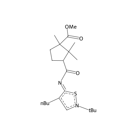 CCCCc1cn(C(C)(C)C)s/c1=N\C(=O)C1CCC(C)(C(=O)OC)C1(C)C